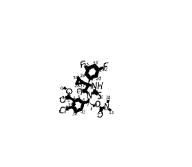 COC(=O)c1cc([C@@H](COC(=O)N(C)C)N2C(=O)[C@](c3cc(F)cc(F)c3)(C3CC3)NC2=S)ccc1Cl